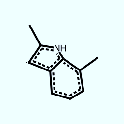 Cc1[c]c2cccc(C)c2[nH]1